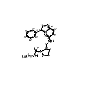 CC(C)(C)NC(=O)N1CCCC1CNc1ccc2ncc(-c3ccccc3)n2n1